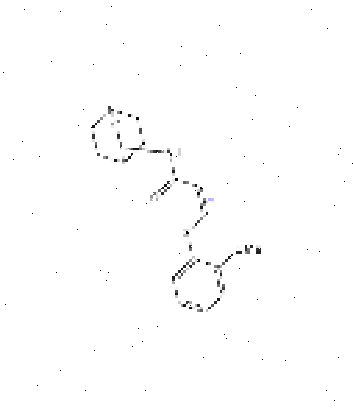 COc1ccccc1S/C=C\C(=O)NC1CN2CCC1CC2